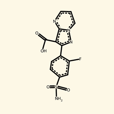 NS(=O)(=O)c1ccc(-c2nn3cccnc3c2C(=O)O)c(F)c1